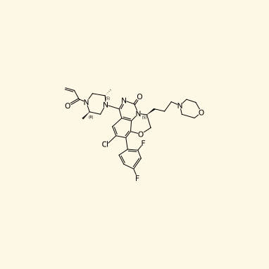 C=CC(=O)N1C[C@H](C)N(c2nc(=O)n3c4c(c(-c5ccc(F)cc5F)c(Cl)cc24)OC[C@@H]3CCCN2CCOCC2)C[C@H]1C